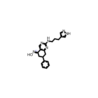 O/N=C1\CC(c2ccccc2)Cc2nc(NCCCc3cn[nH]c3)ncc21